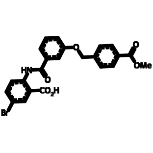 COC(=O)c1ccc(COc2cccc(C(=O)Nc3ccc(Br)cc3C(=O)O)c2)cc1